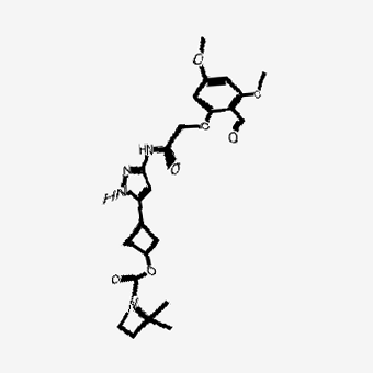 COc1cc(OC)c(C=O)c(OCC(=O)Nc2cc(C3CC(OC(=O)N4CCC4(C)C)C3)[nH]n2)c1